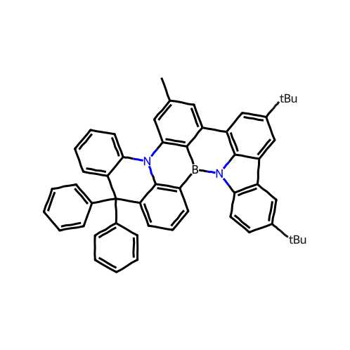 Cc1cc2c3c(c1)N1c4ccccc4C(c4ccccc4)(c4ccccc4)c4cccc(c41)B3n1c3ccc(C(C)(C)C)cc3c3cc(C(C)(C)C)cc-2c31